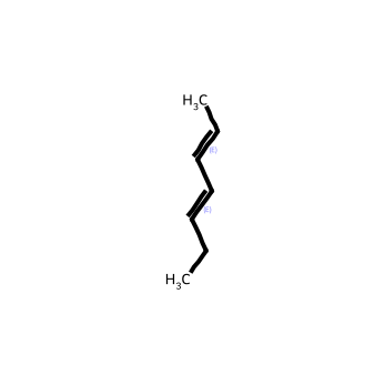 C/C=C/C=C/CC